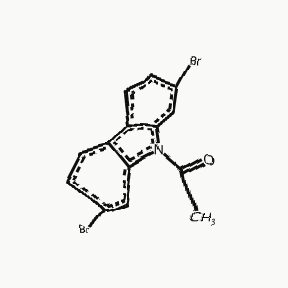 CC(=O)n1c2cc(Br)ccc2c2ccc(Br)cc21